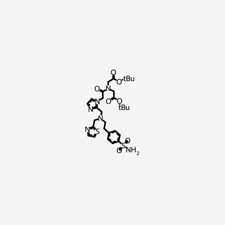 CC(C)(C)OC(=O)CN(CC(=O)OC(C)(C)C)C(=O)Cn1ccnc1CN(CCc1ccc(S(N)(=O)=O)cc1)Cc1nccs1